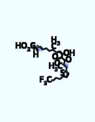 C/C(=C\c1ccc(CCCC(F)(F)F)s1)C(=O)c1c(O)cc(C(C)CC/C=C/NC(=O)O)oc1=O